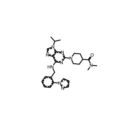 CC(C)n1cnc2c(NCc3ccccc3-n3cccn3)nc(N3CCC(C(=O)N(C)C)CC3)nc21